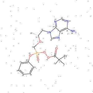 CCC(C)(C)C(=O)OOP(=O)(CO[C@H](C)Cn1cnc2c(N)ncnc21)Oc1ccccc1